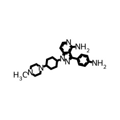 CN1CCN(C2CCC(n3nc(-c4ccc(N)cc4)c4c(N)nccc43)CC2)CC1